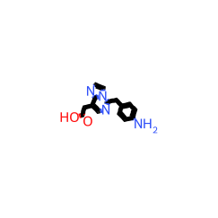 Nc1ccc(Cc2ncc(CC(=O)O)c3nccn23)cc1